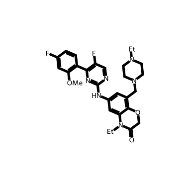 CCN1CCN(Cc2cc(Nc3ncc(F)c(-c4ccc(F)cc4OC)n3)cc3c2OCC(=O)N3CC)CC1